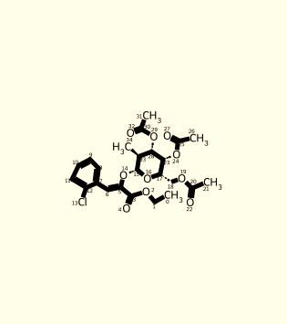 CCOC(=O)/C(=C/c1ccccc1Cl)O[C@H]1O[C@@H](COC(C)=O)[C@@H](OC(C)=O)[C@@H](OC(C)=O)[C@@H]1C